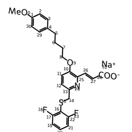 COc1ccc(CCCCOc2ccc(CSc3c(F)cccc3F)nc2C=CC(=O)[O-])cc1.[Na+]